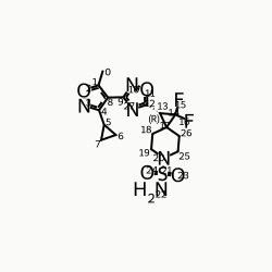 Cc1onc(C2CC2)c1-c1noc([C@@H]2C(F)(F)C23CCN(S(N)(=O)=O)CC3)n1